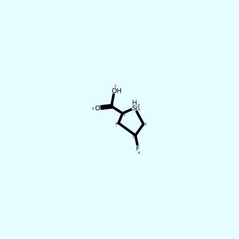 O=C(O)C1CC(F)C[SiH2]1